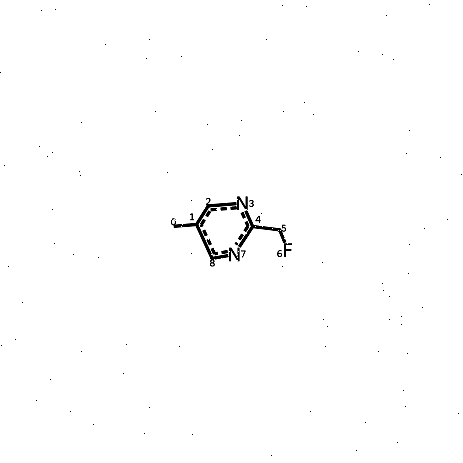 Cc1cnc(CF)nc1